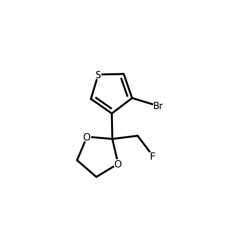 FCC1(c2cscc2Br)OCCO1